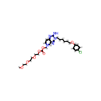 COCCOCCOCCOC(=O)OCn1ccc(=NC(=N)N(C#N)CCCCCCOc2ccc(Cl)cc2)cc1